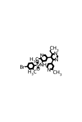 CCc1ncnc(-c2ccnc(C)c2)c1-c1cnc(C)c(NS(=O)(=O)c2ccc(Br)cc2C)c1